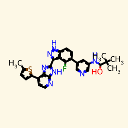 Cc1ccc(-c2ccnc3[nH]c(-c4n[nH]c5ccc(-c6cncc(NC(O)C(C)(C)C)c6)c(F)c45)nc23)s1